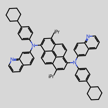 CC(C)c1cc(N(c2ccc(C3CCCCC3)cc2)c2ccc3ncccc3c2)c2ccc3c(C(C)C)cc(N(c4ccc(C5CCCCC5)cc4)c4ccc5cccnc5c4)c4ccc1c2c34